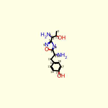 CC(O)[C@H](N)c1noc([C@@H](N)Cc2ccc(O)cc2)n1